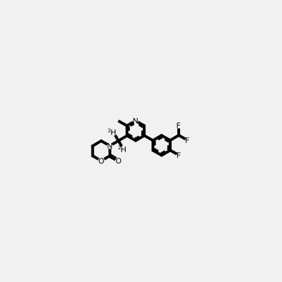 [2H]C([2H])(c1cc(-c2ccc(F)c(C(F)F)c2)cnc1C)N1CCCOC1=O